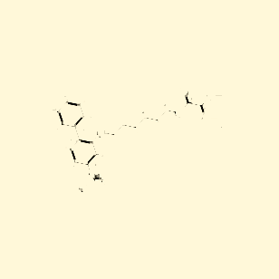 C=C(C)C(=O)OCCCCCCOc1cc([N+](=O)[O-])ccc1-c1ccccc1